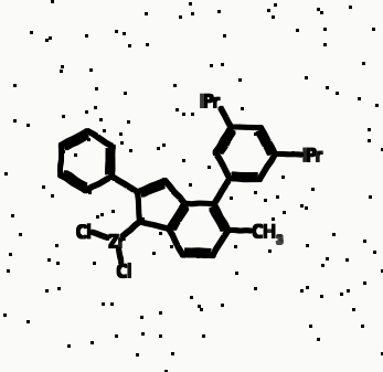 Cc1ccc2c(c1-c1cc(C(C)C)cc(C(C)C)c1)C=C(c1ccccc1)[CH]2[Zr]([Cl])[Cl]